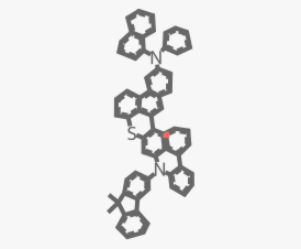 CC1(C)c2ccccc2-c2cc(N(c3ccc4c(c3)Sc3cccc5c3c-4cc3ccc(N(c4ccccc4)c4cccc6ccccc46)cc35)c3ccccc3-c3ccccc3)ccc21